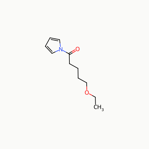 CCOCCCCC(=O)n1cccc1